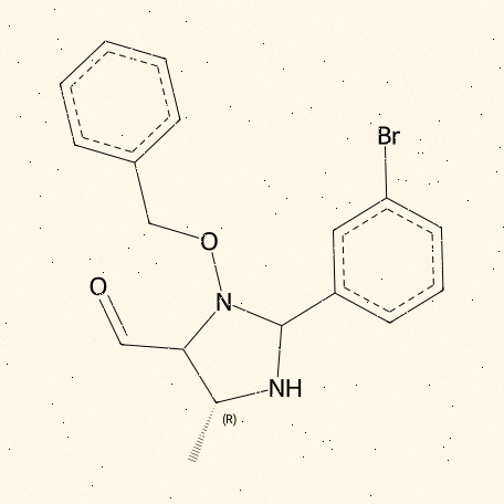 C[C@H]1NC(c2cccc(Br)c2)N(OCc2ccccc2)C1C=O